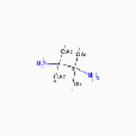 CC(=O)OC(N)(OC(C)=O)C(N)(OC(C)=O)OC(C)=O